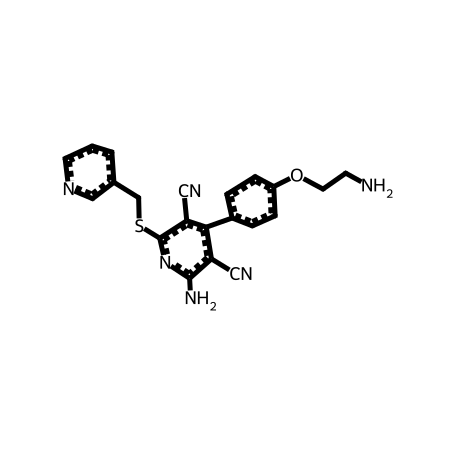 N#Cc1c(N)nc(SCc2cccnc2)c(C#N)c1-c1ccc(OCCN)cc1